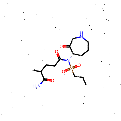 CCCS(=O)(=O)N(C(=O)[CH]CC(C)C(N)=O)[C@H]1CCCNCC1=O